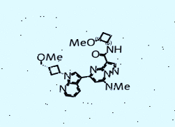 CNc1cc(-c2cn([C@H]3C[C@@H](COC)C3)c3ncccc23)nc2c(C(=O)N[C@H]3CC[C@@H]3OC)cnn12